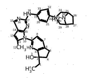 CC[C@@]1(O)CCc2ccc(-n3c(C)cc4cnc(Nc5ccc(N6CC7CCC(C6)N7C)cc5)nc43)nc21